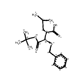 CC(C)C[C@@H](C(=O)O)[C@@H](SCc1ccccc1)C(=O)OC(C)(C)C